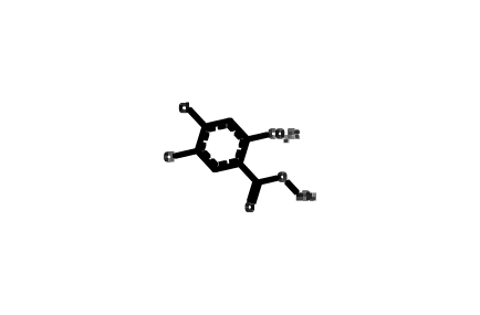 CCCCOC(=O)c1cc(Cl)c(Cl)cc1C(=O)OCC